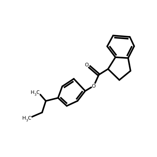 CCC(C)c1ccc(OC(=O)C2CCc3ccccc32)cc1